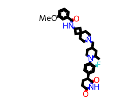 COc1cccc(C(=O)NC2CC3(CCN(CC4CCN(c5ccc(C6CCC(=O)NC6=O)cc5F)C(C)C4)CC3)C2)c1